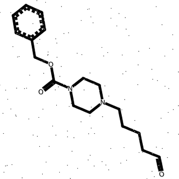 O=CCCCCN1CCN(C(=O)OCc2ccccc2)CC1